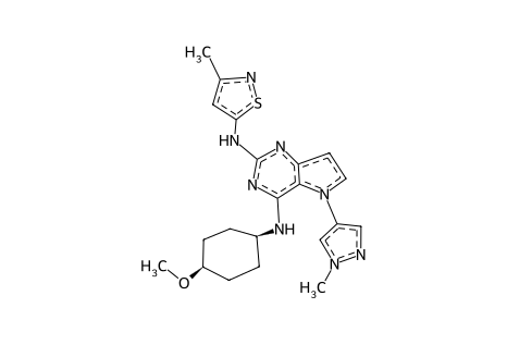 CO[C@H]1CC[C@@H](Nc2nc(Nc3cc(C)ns3)nc3ccn(-c4cnn(C)c4)c23)CC1